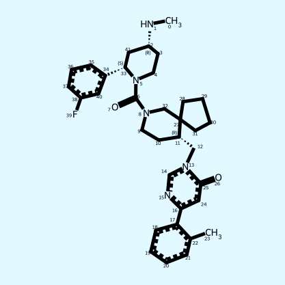 CN[C@@H]1CCN(C(=O)N2CC[C@@H](Cn3cnc(-c4ccccc4C)cc3=O)C3(CCCC3)C2)[C@H](c2cccc(F)c2)C1